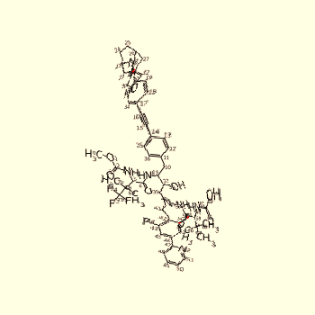 COC(=O)NC(C(=O)NC(Cc1ccc(C#Cc2ccc(N3CC4CCC(C3)N4C3COC3)nc2)cc1)C(O)CN(Cc1c(F)cc(-c2ccccn2)cc1F)NC(=O)C(NC(=O)O)C(C)(C)C)C(C)(C)C(F)(F)F